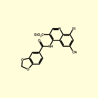 CCOC(=O)c1cnc2c(CC)cc(C#N)cc2c1NC(=O)c1ccc2c(c1)OCO2